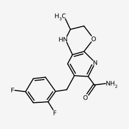 CC1COc2nc(C(N)=O)c(Cc3ccc(F)cc3F)cc2N1